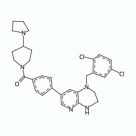 O=C(c1ccc(-c2cnc3c(c2)N(Cc2cc(Cl)ccc2Cl)CCN3)cc1)N1CCC(N2CCCC2)CC1